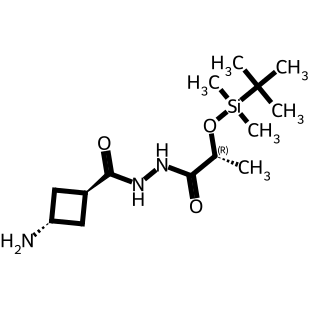 C[C@@H](O[Si](C)(C)C(C)(C)C)C(=O)NNC(=O)[C@H]1C[C@H](N)C1